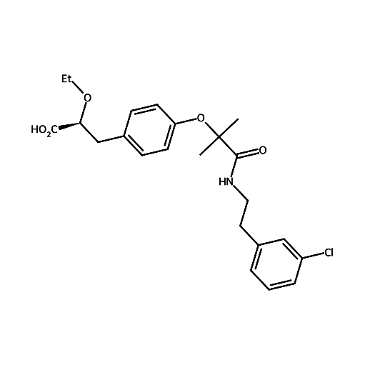 CCO[C@@H](Cc1ccc(OC(C)(C)C(=O)NCCc2cccc(Cl)c2)cc1)C(=O)O